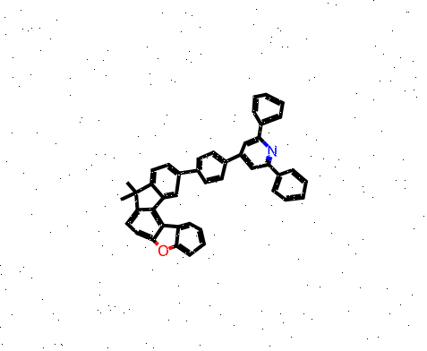 CC1(C)c2ccc(-c3ccc(-c4cc(-c5ccccc5)nc(-c5ccccc5)c4)cc3)cc2-c2c1ccc1oc3ccccc3c21